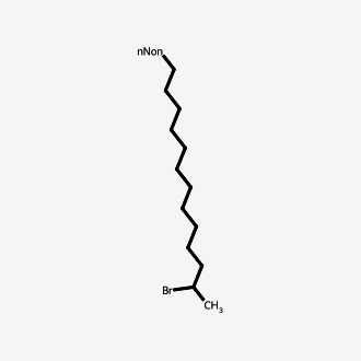 CCCCCCCCCCCCCCCCCCCCC(C)Br